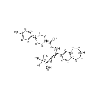 O=C(NCC(=O)N1CCN(c2ccc(F)cc2)CC1)c1ccc2c(c1)CCNCC2.O=C(O)C(F)(F)F